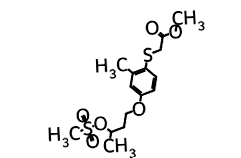 COC(=O)CSc1ccc(OCCC(C)OS(C)(=O)=O)cc1C